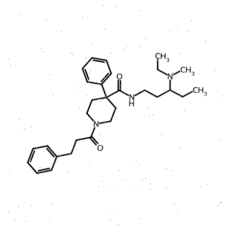 CCC(CCNC(=O)C1(c2ccccc2)CCN(C(=O)CCc2ccccc2)CC1)N(C)CC